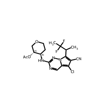 CC(=O)O[C@@H]1COCC[C@H]1Nc1ncc2c(Cl)c(C#N)c(C(C)C(C)(F)F)n2n1